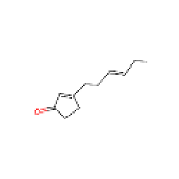 CC/C=C/CCC1=CC(=O)CC1